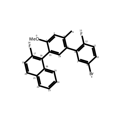 COc1cc(C)c(-c2cc(Br)ccc2F)cc1-c1c(F)ccc2ccccc12